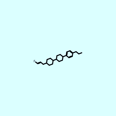 CCCc1ccc(C2CCC(C3CCC(CC=CF)CC3)CC2)cc1